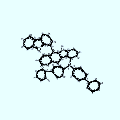 c1ccc(-c2ccc(N(c3ccc(-c4ccccc4)cc3)c3cccc4oc5c(-c6cccc7c6oc6ccccc67)c6ccccc6cc5c34)cc2)cc1